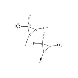 FC1C(C(F)(F)F)C1(F)F.FC1C(F)C1(F)C(F)(F)F